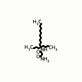 CCCCCCCCCCCC(CCCC)(CCCC)NC(=O)CC(N)=O